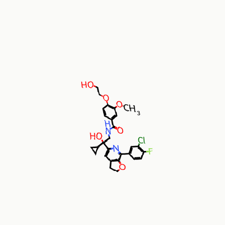 COc1cc(C(=O)NCC(O)(c2cc3c(c(-c4ccc(F)c(Cl)c4)n2)OCC3)C2CC2)ccc1OCCO